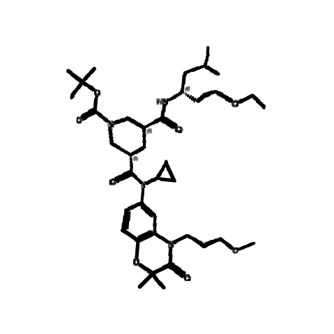 CCOCC[C@@H](CC(C)C)NC(=O)[C@H]1C[C@@H](C(=O)N(c2ccc3c(c2)N(CCCOC)C(=O)C(C)(C)O3)C2CC2)CN(C(=O)OC(C)(C)C)C1